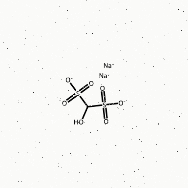 O=S(=O)([O-])C(O)S(=O)(=O)[O-].[Na+].[Na+]